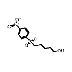 O=[N+]([O-])c1ccc(S(=O)(=O)CCCCCO)cc1